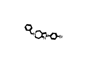 Brc1ccc(-n2cc3c(n2)CCN(Cc2ccccc2)CC3)cc1